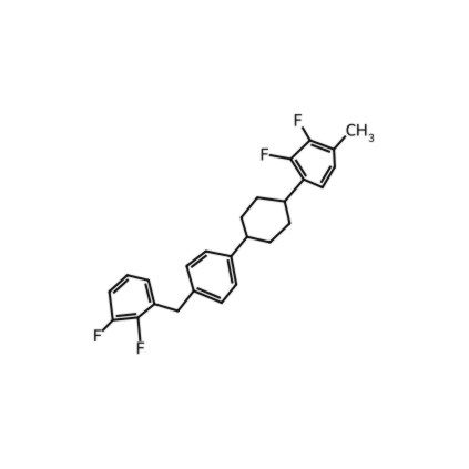 Cc1ccc(C2CCC(c3ccc(Cc4cccc(F)c4F)cc3)CC2)c(F)c1F